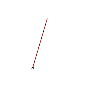 CC#CC#CC#CC#CC#CC#CC#CC#CC#CC#CC#CC#CC#CC#CC#CC#CC#CC#CC#CC#CC#CC#CC#CC#CC#CC#CC#CC#CC#CC#CC#CC#CC#CC#CC#CC#CC#CC#CC#CC#CC#CC#CC#CC#CC#CC#CC#CC#CC#CC#CC#CC#CC#CC#CC#CC#N